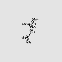 CCCOCCOP(=O)(OCCCCCNC(=O)CCCC1SCC2C1NC(=O)N2C(c1ccccc1)(c1ccc(OC)cc1)c1ccc(OC)cc1)OC(C)(C)C